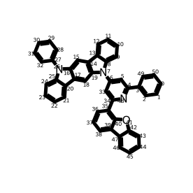 c1ccc(-c2cc(-n3c4ccccc4c4cc5c(cc43)c3ccccc3n5-c3ccccc3)cc(-c3cccc4c3oc3ccccc34)n2)cc1